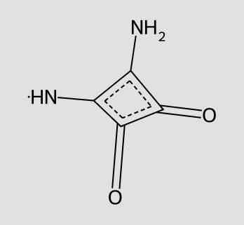 [NH]c1c(N)c(=O)c1=O